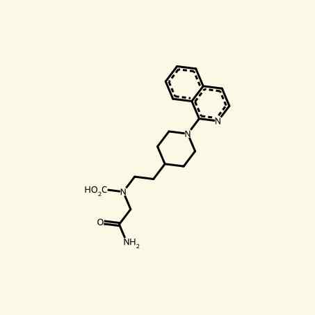 NC(=O)CN(CCC1CCN(c2nccc3ccccc23)CC1)C(=O)O